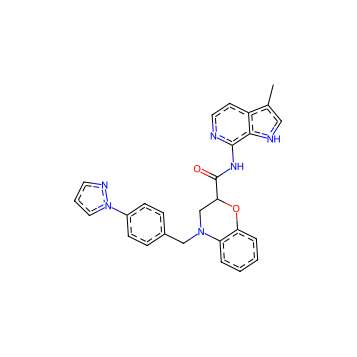 Cc1c[nH]c2c(NC(=O)C3CN(Cc4ccc(-n5cccn5)cc4)c4ccccc4O3)nccc12